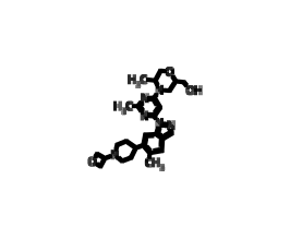 Cc1nc(N2CC(CO)OCC2C)cc(-n2ncc3cc(C)c(C4CCN(C5COC5)CC4)cc32)n1